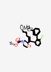 COCCCC=C(c1cccc(F)c1-c1cccc(C)c1)C1CN(C(=O)OC(C)(C)C)CCO1